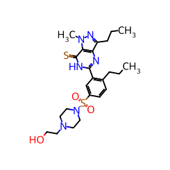 CCCc1ccc(S(=O)(=O)N2CCN(CCO)CC2)cc1-c1nc2c(CCC)nn(C)c2c(=S)[nH]1